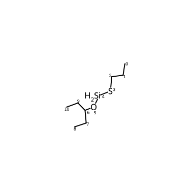 CCCS[SiH2]OC(CC)CC